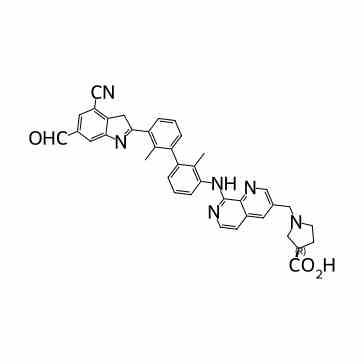 Cc1c(Nc2nccc3cc(CN4CC[C@@H](C(=O)O)C4)cnc23)cccc1-c1cccc(C2=Nc3cc(C=O)cc(C#N)c3C2)c1C